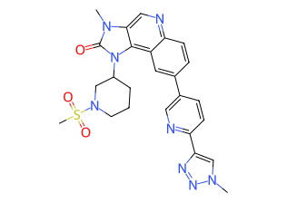 Cn1cc(-c2ccc(-c3ccc4ncc5c(c4c3)n(C3CCCN(S(C)(=O)=O)C3)c(=O)n5C)cn2)nn1